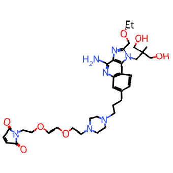 CCOCc1nc2c(N)nc3cc(CCCN4CCN(CCOCCOCCN5C(=O)C=CC5=O)CC4)ccc3c2n1CC(C)(CO)CO